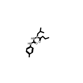 CCCC(=O)N(CC(C)C)NC(=O)Nc1ccc(C)cc1